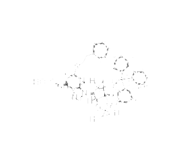 CC1(C)O[C@H]2[C@H](n3cnc4c(NC(=O)O)nc(SCCc5ccccc5)nc43)[C@H]3C[C@@]3(COC(c3ccccc3)(c3ccccc3)c3ccccc3)[C@H]2O1